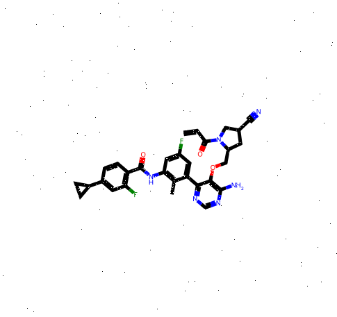 C=CC(=O)N1CC(C#N)CC1COc1c(N)ncnc1-c1cc(F)cc(NC(=O)c2ccc(C3CC3)cc2F)c1C